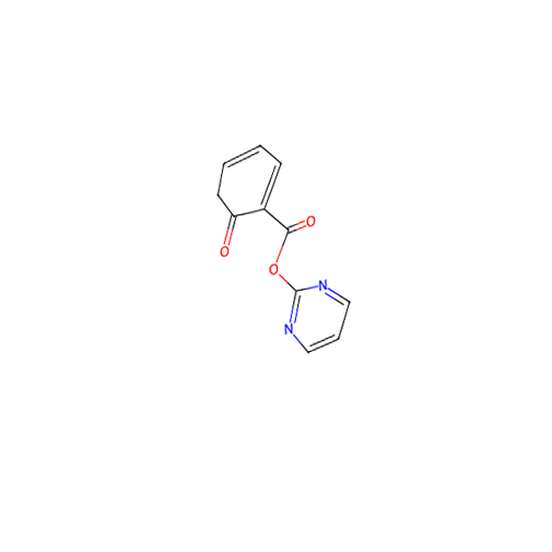 O=C1CC=CC=C1C(=O)Oc1ncccn1